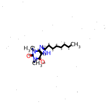 CCCCCCCc1nc2c([nH]1)c(=O)n(C)c(=O)n2C